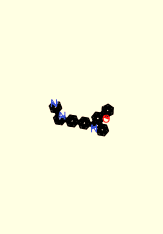 c1cc(-c2ccncc2)nc(-c2ccc(-c3ccc(-c4nc5ccccc5c5c4ccc4c6ccccc6oc45)cc3)cc2)c1